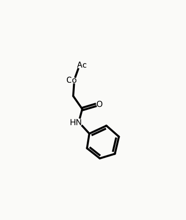 C[C](=O)[Co][CH2]C(=O)Nc1ccccc1